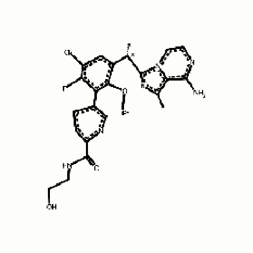 Cc1nc([C@@H](C)c2cc(Cl)c(F)c(-c3ccc(C(=O)NCCO)nc3)c2OC(C)C)n2ccnc(N)c12